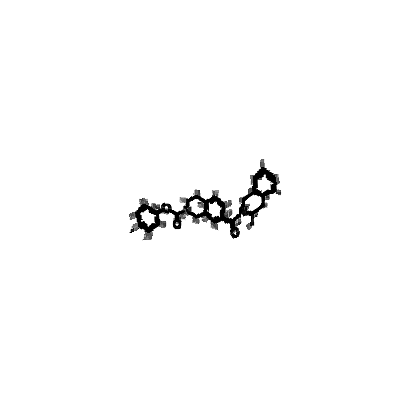 C[C@@H]1Cc2ccccc2CN1C(=O)c1ccc2c(c1)CN(C(=O)Oc1ccccc1)CC2